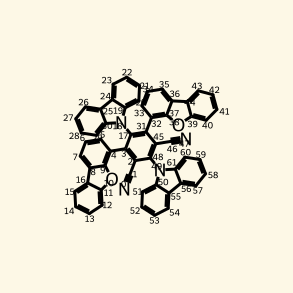 N#Cc1c(-c2cccc3c2oc2ccccc23)c(-n2c3ccccc3c3ccccc32)c(-c2cccc3c2oc2ccccc23)c(C#N)c1-n1c2ccccc2c2ccccc21